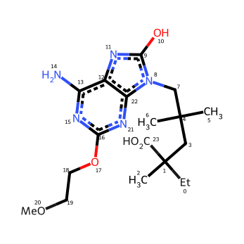 CCC(C)(CC(C)(C)Cn1c(O)nc2c(N)nc(OCCOC)nc21)C(=O)O